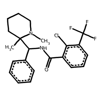 CN1CCCCC1(C)C(NC(=O)c1cccc(C(F)(F)F)c1Cl)c1ccccc1